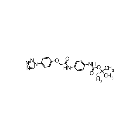 CC(C)(C)OC(=O)Nc1ccc(NC(=O)COc2ccc(-n3cnnn3)cc2)cc1